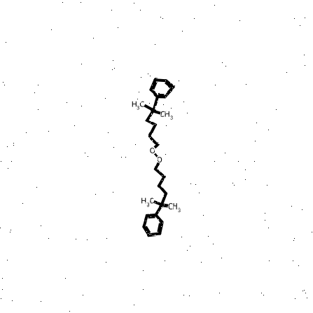 CC(C)(CCCCOOCCCCC(C)(C)c1ccccc1)c1ccccc1